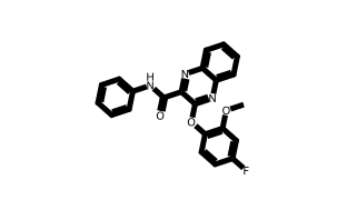 COc1cc(F)ccc1Oc1nc2ccccc2nc1C(=O)Nc1ccccc1